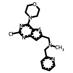 CN(Cc1ccccn1)Cc1cc2nc(Cl)nc(N3CCOCC3)c2s1